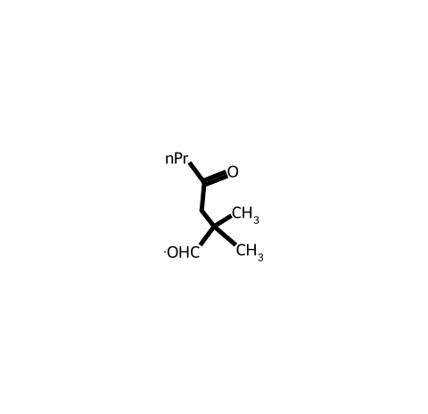 CCCC(=O)CC(C)(C)[C]=O